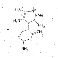 C=C1CC(N)OCC1C(/C(N)=C(/C)N)C(N)NC